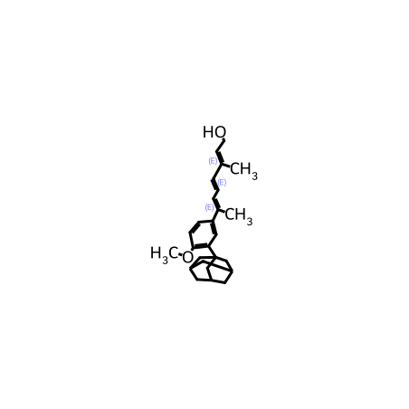 COc1ccc(/C(C)=C/C=C/C(C)=C/CO)cc1C12CC3CC(CC(C3)C1)C2